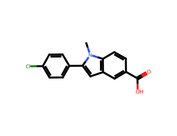 Cn1c(-c2ccc(Cl)cc2)cc2cc(C(=O)O)ccc21